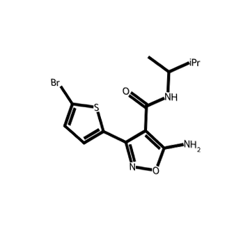 CC(C)C(C)NC(=O)c1c(-c2ccc(Br)s2)noc1N